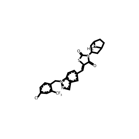 CN1C2CCC1CC(N1C(=O)S/C(=C\c3ccc4c(cnn4Cc4ccc(Cl)cc4C(F)(F)F)c3)C1=O)C2